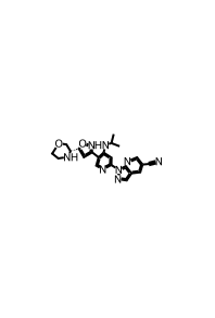 CC(C)Nc1cc(-n2ncc3cc(C#N)cnc32)ncc1-c1cc([C@H]2COCCN2)on1